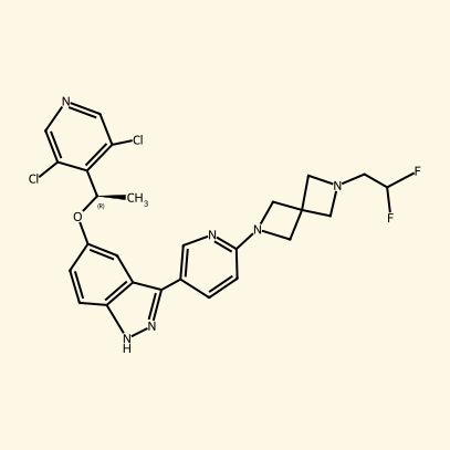 C[C@@H](Oc1ccc2[nH]nc(-c3ccc(N4CC5(CN(CC(F)F)C5)C4)nc3)c2c1)c1c(Cl)cncc1Cl